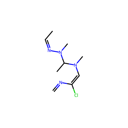 C=N/C(Cl)=C\N(C)C(C)N(C)/N=C\C